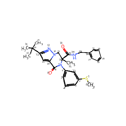 CSc1cccc(N2C(=O)c3cc(C(C)(C)C)nn3CC2(C)C(=O)NCc2ccccc2)c1